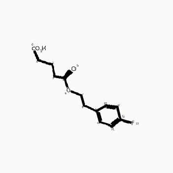 O=C(O)CCCC(=O)OCCc1ccc(F)cc1